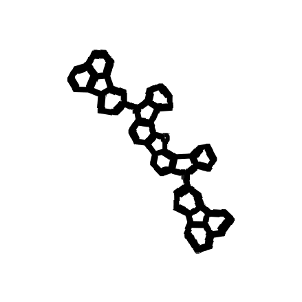 c1cc2c3c(cccc3c1)-c1cc(-n3c4ccccc4c4c5oc6c(ccc7c6c6ccccc6n7-c6ccc7c(c6)-c6cccc8cccc-7c68)c5ccc43)ccc1-2